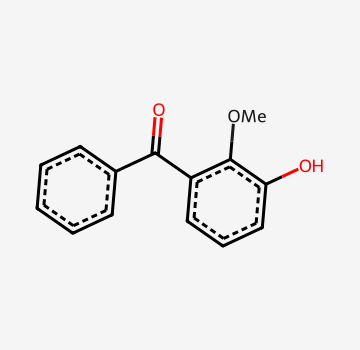 COc1c(O)cccc1C(=O)c1ccccc1